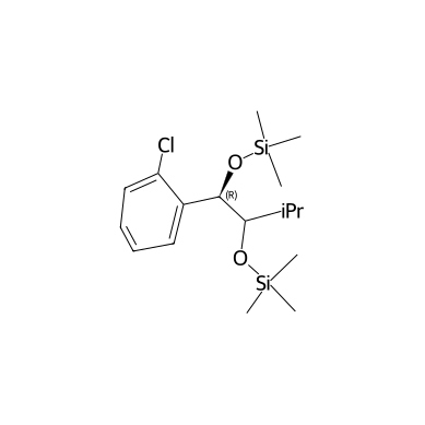 CC(C)C(O[Si](C)(C)C)[C@H](O[Si](C)(C)C)c1ccccc1Cl